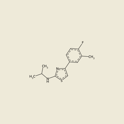 Cc1cc(-c2csc(NC(C)C)n2)ccc1F